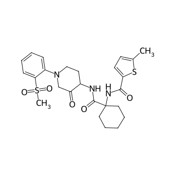 Cc1ccc(C(=O)NC2(C(=O)NC3CCN(c4ccccc4S(C)(=O)=O)CC3=O)CCCCC2)s1